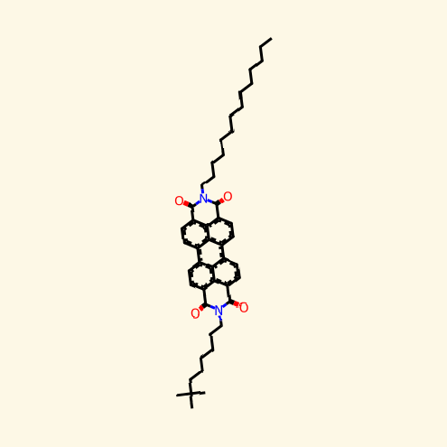 CCCCCCCCCCCCCCN1C(=O)c2ccc3c4ccc5c6c(ccc(c7ccc(c2c37)C1=O)c64)C(=O)N(CCCCCCC(C)(C)C)C5=O